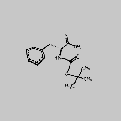 CC(C)(C)OC(=O)N[C@H](Cc1ccccc1)C(O)=S